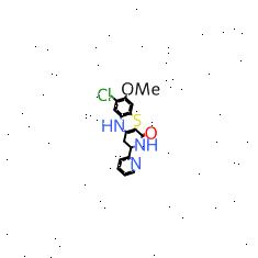 COc1cc2c(cc1Cl)NC1=C(S2)C(=O)NC(c2ccccn2)C1